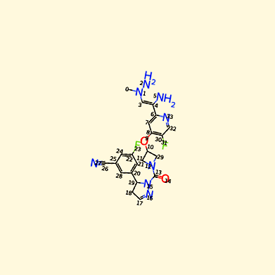 CN(N)/C=C(\N)c1cc(OC2CN(C(=O)N3N=CCC3c3cc(F)cc(C#N)c3)C2)c(F)cn1